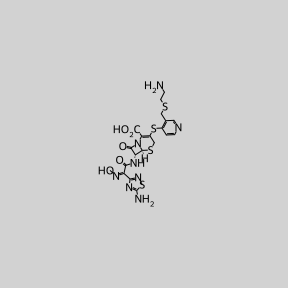 NCCSCc1cnccc1SC1=C(C(=O)O)N2C(=O)[C@@H](NC(=O)/C(=N\O)c3nsc(N)n3)[C@@H]2SC1